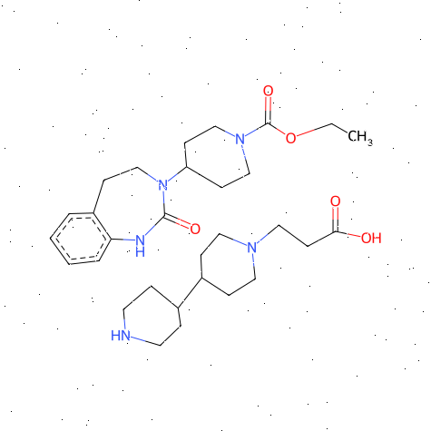 CCOC(=O)N1CCC(N2CCc3ccccc3NC2=O)CC1.O=C(O)CCN1CCC(C2CCNCC2)CC1